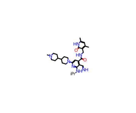 Cc1cc(C)c(CNC(=O)c2cc(N3CCC(C4CCN(C)CC4)CC3)nc(NC(C)C)c2C=N)c(=O)[nH]1